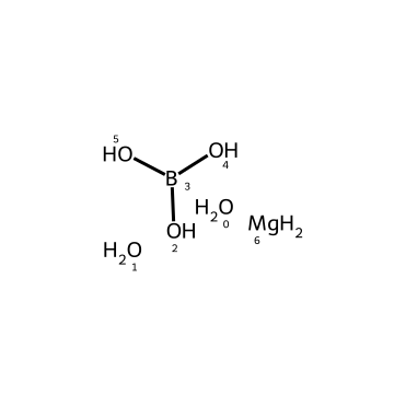 O.O.OB(O)O.[MgH2]